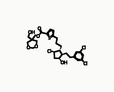 O=C(OCC1(CO)COCOC1)c1ccc(CCC[C@@H]2[C@@H](CCc3cc(Cl)cc(Cl)c3)[C@H](O)C[C@H]2Cl)s1